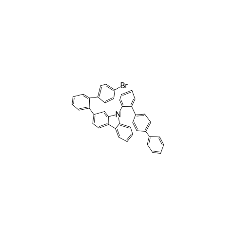 Brc1ccc(-c2ccccc2-c2ccc3c4ccccc4n(-c4ccccc4-c4ccc(-c5ccccc5)cc4)c3c2)cc1